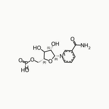 NC(=O)c1ccc[n+]([C@@H]2O[C@H](CO[PH](=O)O)C(O)[C@@H]2O)c1